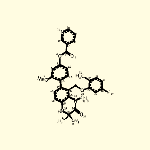 COc1cc(OC(=O)c2cccnc2)ccc1-c1ccc2c(c1COc1cc(F)ccc1C)N(C)C(=O)C(C)(C)N2